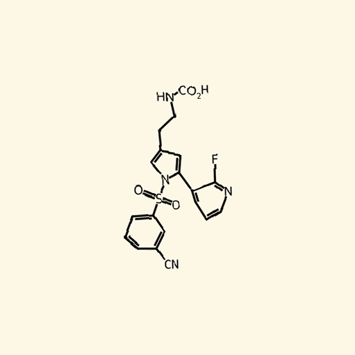 N#Cc1cccc(S(=O)(=O)n2cc(CCNC(=O)O)cc2-c2cccnc2F)c1